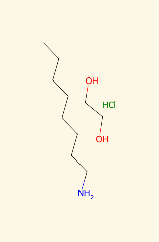 CCCCCCCCN.Cl.OCCO